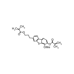 C=C(C)C(=O)OCCCc1ccc2c(c1)sc1c(OC)c(OC(=O)C(=C)C)ccc12